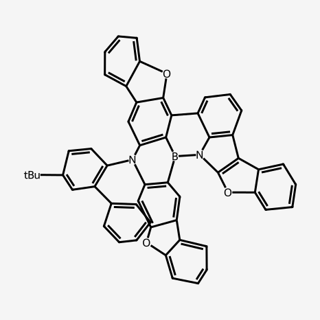 CC(C)(C)c1ccc(N2c3cc4oc5ccccc5c4cc3B3c4c2cc2c(oc5ccccc52)c4-c2cccc4c5c6ccccc6oc5n3c24)c(-c2ccccc2)c1